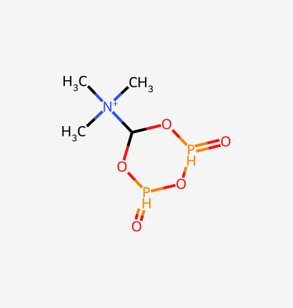 C[N+](C)(C)C1O[PH](=O)O[PH](=O)O1